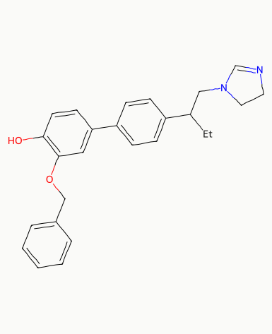 CCC(CN1C=NCC1)c1ccc(-c2ccc(O)c(OCc3ccccc3)c2)cc1